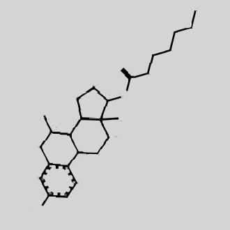 CCCCCCC(=O)OC1CCC2C3C(C)Cc4cc(O)ccc4C3CCC12C